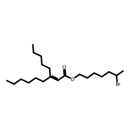 CCCCCC/C(=C/C(=O)OCCCCCC(C)Br)CCCCC